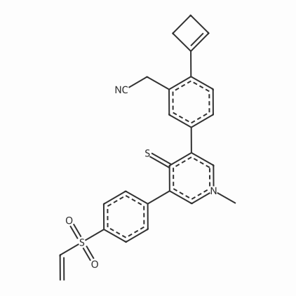 C=CS(=O)(=O)c1ccc(-c2cn(C)cc(-c3ccc(C4=CCC4)c(CC#N)c3)c2=S)cc1